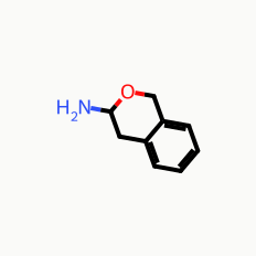 NC1Cc2ccccc2CO1